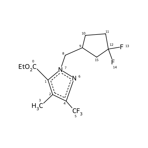 CCOC(=O)c1c(C)c(C(F)(F)F)nn1CC1CCC(F)(F)C1